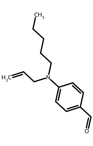 C=CCN(CCCCC)c1ccc(C=O)cc1